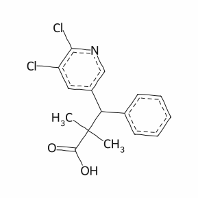 CC(C)(C(=O)O)C(c1ccccc1)c1cnc(Cl)c(Cl)c1